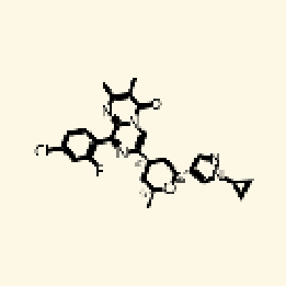 Cc1nc2c(-c3ccc(Cl)cc3F)nc([C@@H]3C[C@H](C)O[C@@H](c4cnn(C5CC5)c4)C3)cn2c(=O)c1C